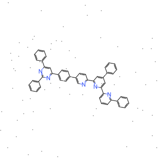 c1ccc(-c2cc(-c3ccc(-c4ccc(-c5cc(-c6ccccc6)nc(-c6ccccc6)n5)cc4)cn3)nc(-c3cccc(-c4ccccc4)n3)c2)cc1